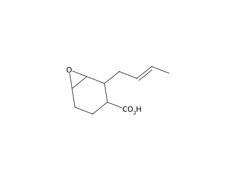 CC=CCC1C(C(=O)O)CCC2OC21